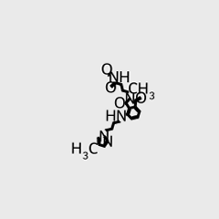 Cc1cnn(CCCCNc2cccc3c2C(=O)N(C(C)CCC(=O)NC=O)C3=O)c1